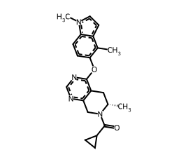 Cc1c(Oc2ncnc3c2C[C@H](C)N(C(=O)C2CC2)C3)ccc2c1ccn2C